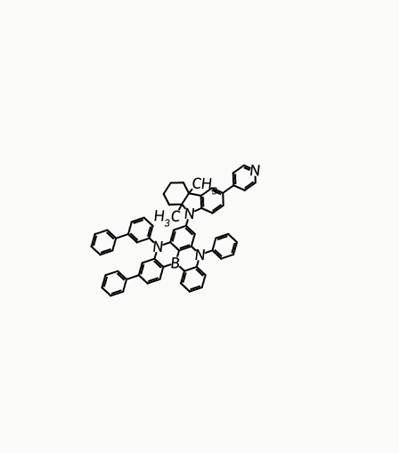 CC12CCCCC1(C)N(c1cc3c4c(c1)N(c1cccc(-c5ccccc5)c1)c1cc(-c5ccccc5)ccc1B4c1ccccc1N3c1ccccc1)c1ccc(-c3ccncc3)cc12